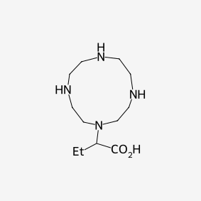 CCC(C(=O)O)N1CCNCCNCCNCC1